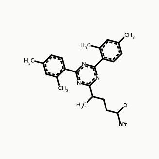 CCCC([O])CCC(C)c1nc(-c2ccc(C)cc2C)nc(-c2ccc(C)cc2C)n1